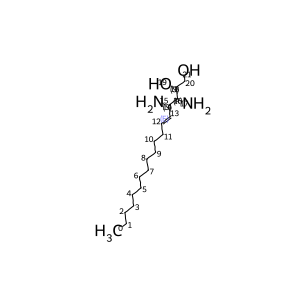 CCCCCCCCCCCC/C=C/[C@H](N)[C@@H](N)[C@H](O)CO